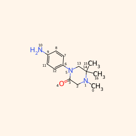 CN1CC(=O)N(c2ccc(N)cc2)CC1(C)C